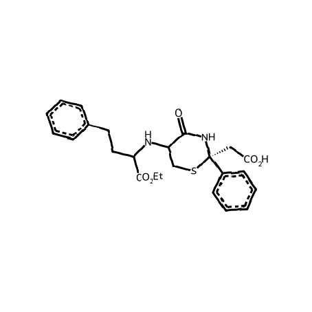 CCOC(=O)C(CCc1ccccc1)NC1CS[C@](CC(=O)O)(c2ccccc2)NC1=O